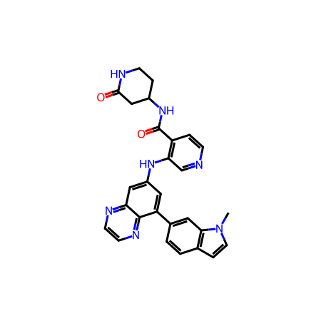 Cn1ccc2ccc(-c3cc(Nc4cnccc4C(=O)NC4CCNC(=O)C4)cc4nccnc34)cc21